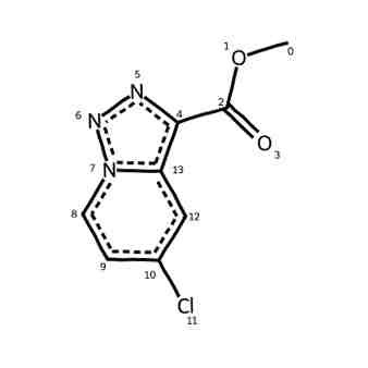 COC(=O)c1nnn2ccc(Cl)cc12